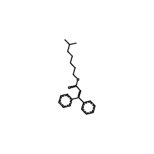 CC(C)CCCCCOC(=O)C=C(c1ccccc1)c1ccccc1